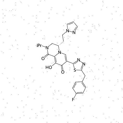 CC(C)N1C[C@H](CCn2cccn2)n2cc(-c3nnc(Cc4ccc(F)cc4)s3)c(=O)c(O)c2C1=O